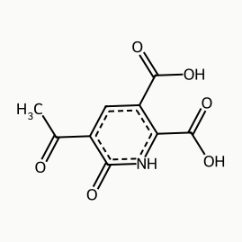 CC(=O)c1cc(C(=O)O)c(C(=O)O)[nH]c1=O